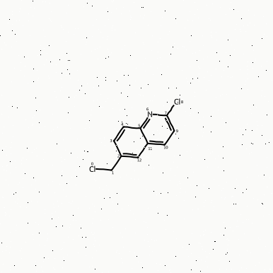 ClCc1ccc2nc(Cl)ccc2c1